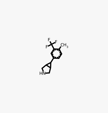 Cc1ccc(C2C3CNCC32)cc1C(F)(F)F